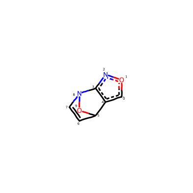 [c]1onc2c1C1C=CN2O1